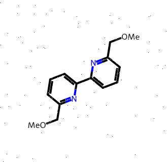 COCc1cccc(-c2cccc(COC)n2)n1